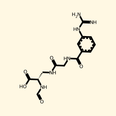 N=C(N)Nc1cccc(C(=O)NCC(=O)NC[C@H](NC=O)C(=O)O)c1